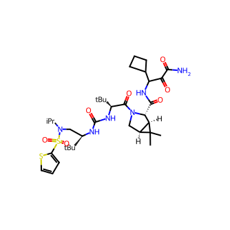 CC(C)N(C[C@@H](NC(=O)N[C@H](C(=O)N1C[C@H]2[C@@H]([C@H]1C(=O)NC(C(=O)C(N)=O)C1CCC1)C2(C)C)C(C)(C)C)C(C)(C)C)S(=O)(=O)c1cccs1